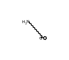 NCCCCCCCCCCCCCCCC(=O)C1CCCCC1